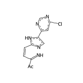 CC(=O)C(=N)/C=C\c1ncc(-c2cc(Cl)ncn2)[nH]1